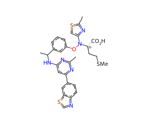 CSCC[C@@H](C(=O)O)N(Oc1cccc(C(C)Nc2cc(-c3ccc4ncsc4c3)nc(C)n2)c1)c1csc(C)n1